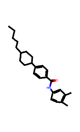 CCCCCC1CCC(c2ccc(C(=O)Nc3ccc(C)c(C)c3)cc2)CC1